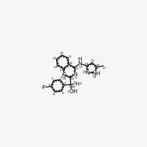 [2H][C@@](O)(c1ccc(F)cc1)c1nc(Nc2cc(C)[nH]n2)c2ccccc2n1